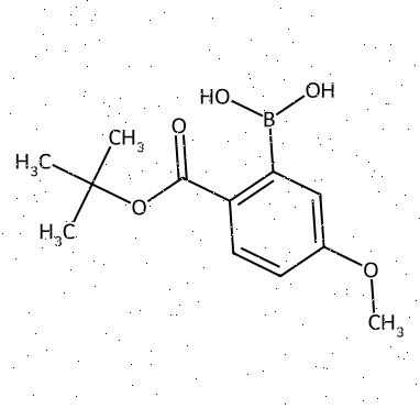 COc1ccc(C(=O)OC(C)(C)C)c(B(O)O)c1